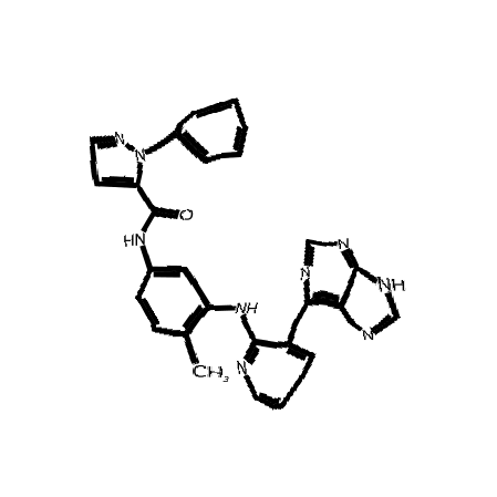 Cc1ccc(NC(=O)c2ccnn2-c2ccccc2)cc1Nc1ncccc1-c1ncnc2[nH]cnc12